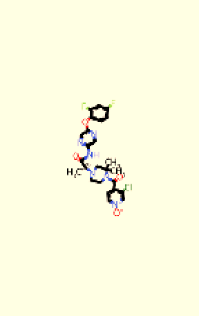 C[C@H](C(=O)Nc1cnc(Oc2ccc(F)cc2F)cn1)N1CCN(C(=O)c2cc[n+]([O-])cc2Cl)C(C)(C)C1